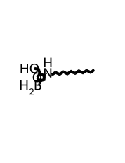 B[C@H]1C[C@@H](NCCCCCCCCCCCC)C(CO)O1